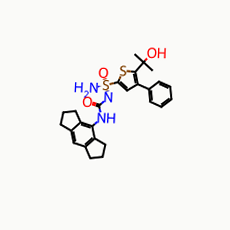 CC(C)(O)c1sc([S@](N)(=O)=NC(=O)Nc2c3c(cc4c2CCC4)CCC3)cc1-c1ccccc1